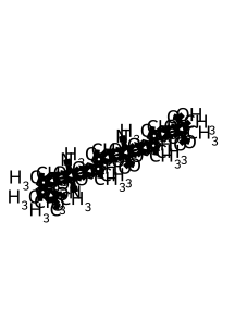 COc1cc2c(cc1OC)C1(CC2(C)C)CC(C)(C)c2cc3oc4c(C#N)c5oc6cc7c(cc6oc5c(C#N)c4oc3cc21)C(C)(C)CC71CC(C)(C)c2cc3oc4c(C#N)c5oc6cc7c(cc6oc5c(C(=O)O)c4oc3cc21)C(C)(C)CC71CC(C)(C)c2cc3c(cc21)Oc1c(c(C(=O)O)c(C)c(C)c1C(=O)O)O3